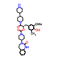 COc1cc(C[C@@H](OC(=O)N2CCC(N3CCc4ccccc4NC3=O)CC2)C(=O)N2CCC(C3CCNCC3)CC2)cc(C)c1O